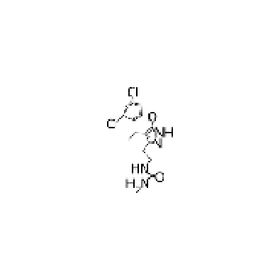 CCc1c(CCNC(N)=O)n[nH]c1Oc1cc(Cl)cc(Cl)c1